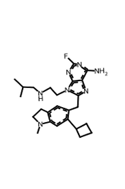 CC(C)CNCCn1c(Cc2cc3c(cc2C2CCC2)N(C)CC3)nc2c(N)nc(F)nc21